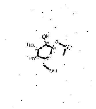 C[SiH](C)O[C@@H]1O[C@H](CO)[C@@H](O)[C@H](O)[C@@H]1O